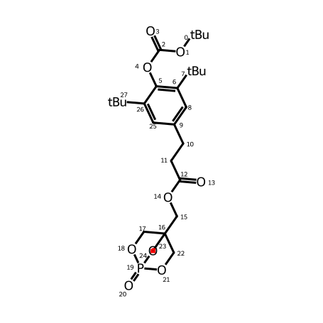 CC(C)(C)OC(=O)Oc1c(C(C)(C)C)cc(CCC(=O)OCC23COP(=O)(OC2)OC3)cc1C(C)(C)C